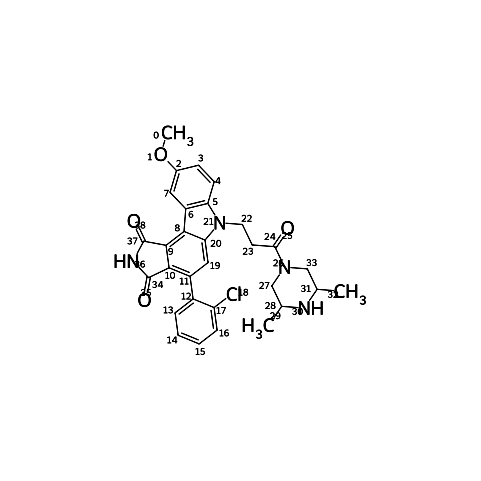 COc1ccc2c(c1)c1c3c(c(-c4ccccc4Cl)cc1n2CCC(=O)N1CC(C)NC(C)C1)C(=O)NC3=O